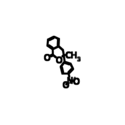 CC1(c2ccc([N+](=O)[O-])cc2)Cc2ccccc2C(=O)O1